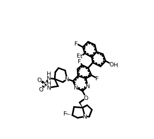 CCc1c(F)ccc2cc(O)cc(-c3c(F)cc4c(N5CCCC6(CNS(=O)(=O)N6)C5)nc(OC[C@@]56CCCN5C[C@H](F)C6)nc4c3F)c12